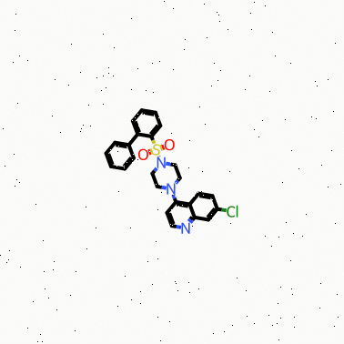 O=S(=O)(c1ccccc1-c1ccccc1)N1CCN(c2ccnc3cc(Cl)ccc23)CC1